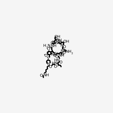 CCC(=O)N[C@H](C(=O)NCC(=O)N[C@H]1C[S+]([O-])c2[nH]c3c(CSC4CCN(C(=O)CCCCCNC(C)=O)CC4)c(OC)ccc3c2C[C@@H](C(N)=O)NC(=O)[C@H]([C@@H](C)[C@@H](O)CO)NC(=O)[C@@H]2C[C@@H](O)CN2C(=O)[C@H](CC(N)=O)NC1=O)[C@@H](C)CC